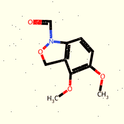 COc1ccc2c(c1OC)CON2C=O